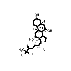 C[C@H](CCC(=O)C(C)(C)C)[C@H]1CCC2C3[C@H](O)C[C@@H]4C[C@H](O)CC[C@]4(C)[C@H]3C[C@H](O)[C@@]21C